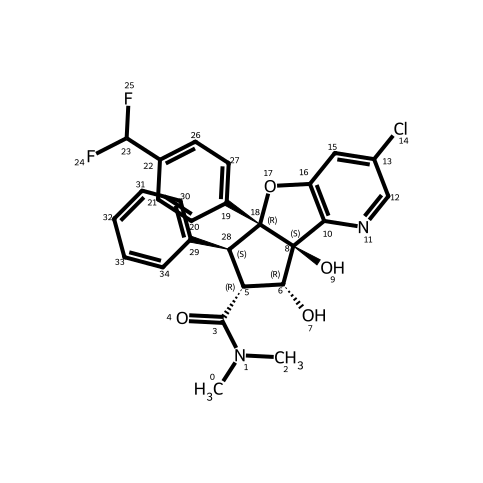 CN(C)C(=O)[C@H]1[C@@H](O)[C@@]2(O)c3ncc(Cl)cc3O[C@@]2(c2ccc(C(F)F)cc2)[C@@H]1c1ccccc1